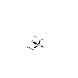 [O]=[Mn](=[O])([OH])[OH].[Sm].[SrH2]